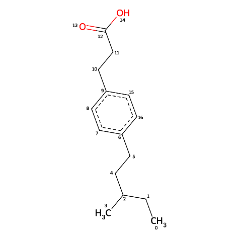 CCC(C)CCc1ccc(CCC(=O)O)cc1